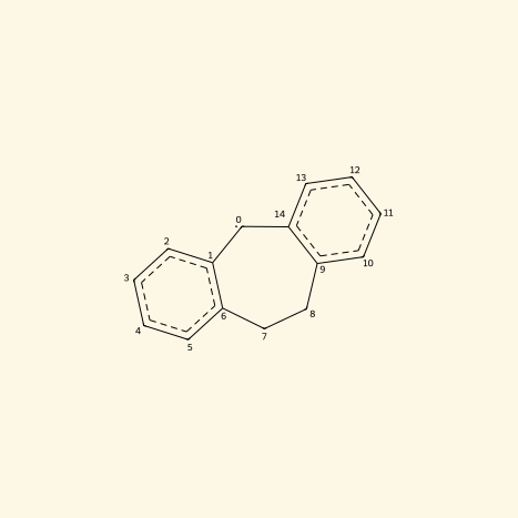 [CH]1c2ccccc2CCc2ccccc21